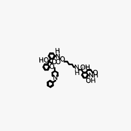 O=C(Nc1cccc(C(O)(C(=O)OCC2CCN(Cc3ccccc3)CC2)c2ccccc2)c1)OCCCCCNC[C@H](O)c1ccc(O)c2[nH]c(=O)ccc12